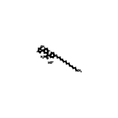 CCCCCCCCCCCCCCOc1ccc(C(C(N)=O)c2cccc(-n3ccnc3C)c2)cc1.Cl